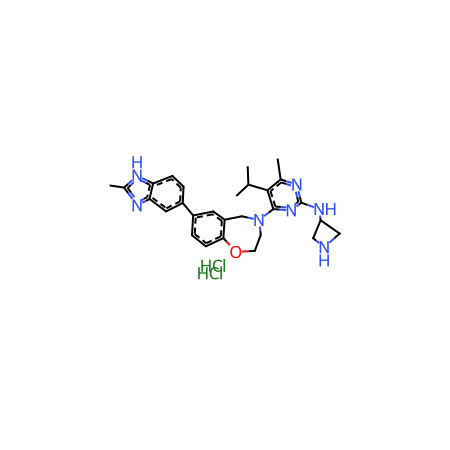 Cc1nc2cc(-c3ccc4c(c3)CN(c3nc(NC5CNC5)nc(C)c3C(C)C)CCO4)ccc2[nH]1.Cl.Cl